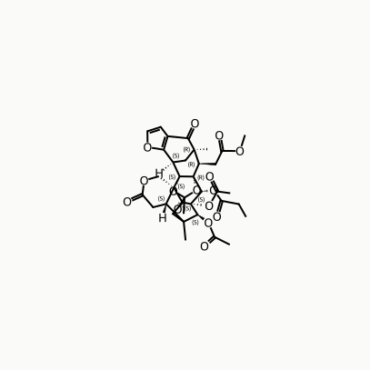 CCC(=O)O[C@@H]1[C@@]2(OC(C)=O)[C@@H](OC(C)=O)C3(C)C[C@]24OC2(C)O[C@]15[C@H](CC(=O)OC)[C@@]1(C)C[C@H](c6occc6C1=O)[C@]5(O2)[C@@]41COC(=O)C[C@@H]31